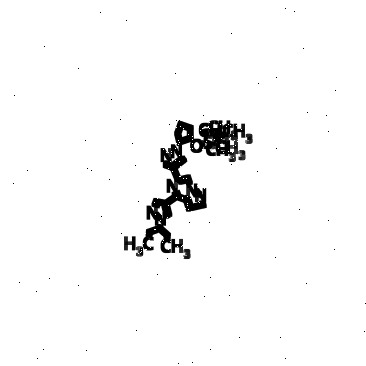 CCC(CC)n1cc(-c2nc(-c3cnn([C@@H]4CCC[C@H]4O[Si](C)(C)C(C)(C)C)c3)cn3nccc23)cn1